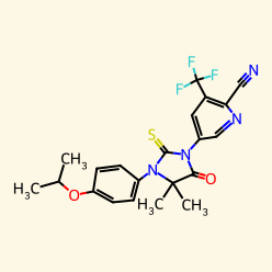 CC(C)Oc1ccc(N2C(=S)N(c3cnc(C#N)c(C(F)(F)F)c3)C(=O)C2(C)C)cc1